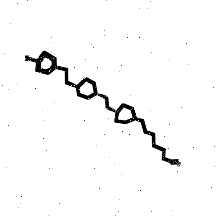 CCCCCCC[C@H]1CC[C@H](CC[C@H]2CC[C@H](CCc3ccc(F)cc3)CC2)CC1